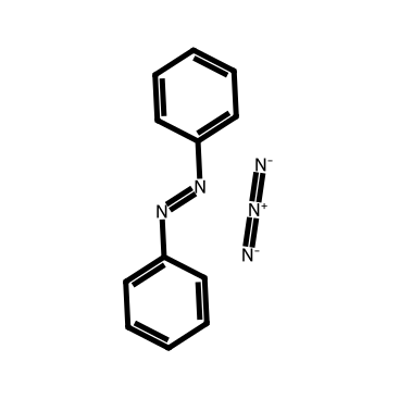 [N-]=[N+]=[N-].c1ccc(N=Nc2ccccc2)cc1